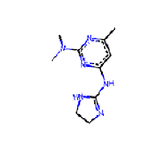 Cc1cc(NC2=NCCN2)nc(N(C)C)n1